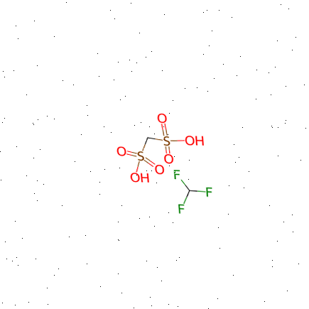 FC(F)F.O=S(=O)(O)CS(=O)(=O)O